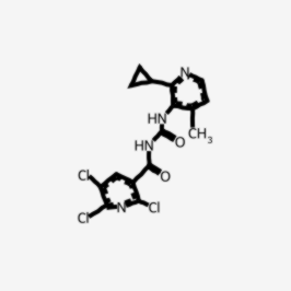 Cc1ccnc(C2CC2)c1NC(=O)NC(=O)c1cc(Cl)c(Cl)nc1Cl